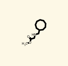 COC(=O)CNCC1CCCCCCCC1